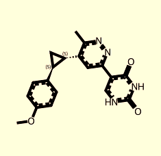 COc1ccc([C@H]2C[C@@H]2c2cc(-c3c[nH]c(=O)[nH]c3=O)nnc2C)cc1